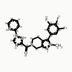 Cn1nc2c(c1-c1cc(F)c(F)c(F)c1)CCN(C(=O)c1ncn(-c3ccccn3)n1)C2